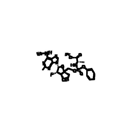 CCNc1nc(C)nc2c1ncn2[C@@H]1O[C@](CCl)(CO[P@@](=O)(N[C@@H](C)C(=O)OC(C)C)Oc2ccccc2)[C@@H](O)[C@@H]1F